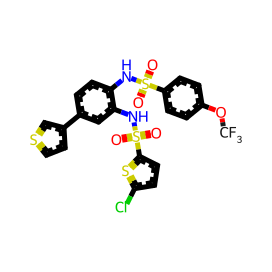 O=S(=O)(Nc1ccc(-c2ccsc2)cc1NS(=O)(=O)c1ccc(Cl)s1)c1ccc(OC(F)(F)F)cc1